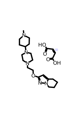 CN1CCC(N2CCN(CCOc3cc4n(n3)CCCC4)CC2)CC1.O=C(O)/C=C\C(=O)O